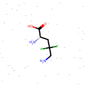 NCC(F)(F)C[C@H](N)C(=O)O